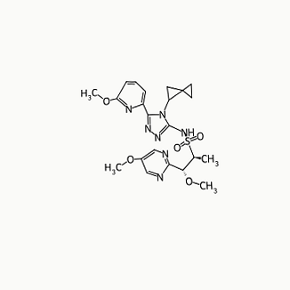 COc1cnc([C@@H](OC)[C@H](C)S(=O)(=O)Nc2nnc(-c3cccc(OC)n3)n2C2CC23CC3)nc1